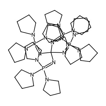 C1CCN(P(=NC(N=P(N2CCCC2)(N2CCCC2)N2CCCC2)(N=P(N2CCCC2)(N2CCCC2)N2CCCC2)N=P(N2CCCC2)(N2CCCC2)N2CCCC2)(N2CCCC2)N2CCCC2)C1